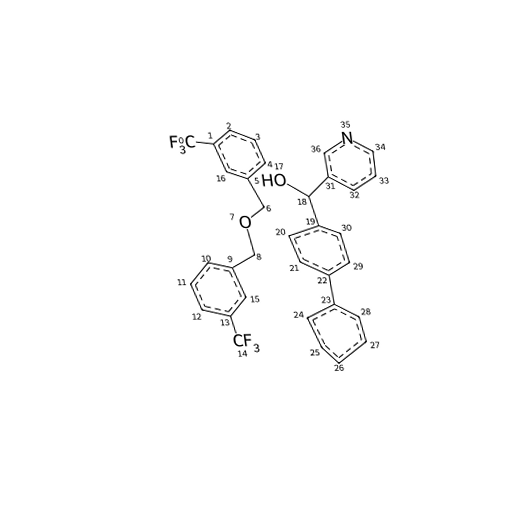 FC(F)(F)c1cccc(COCc2cccc(C(F)(F)F)c2)c1.OC(c1ccc(-c2ccccc2)cc1)c1cccnc1